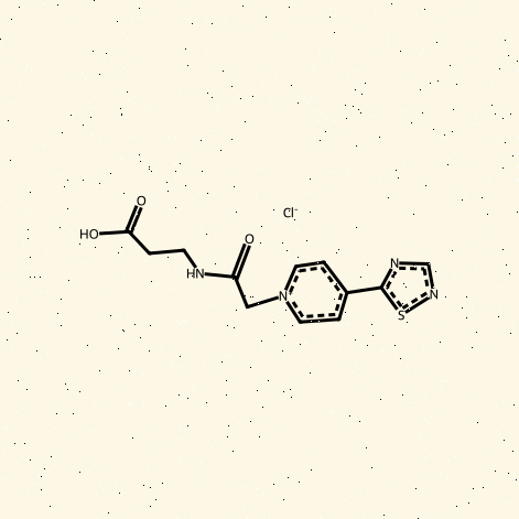 O=C(O)CCNC(=O)C[n+]1ccc(-c2ncns2)cc1.[Cl-]